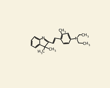 CCN(CC)c1ccc(C=CC2=Nc3ccccc3C2(C)C)c(C)c1